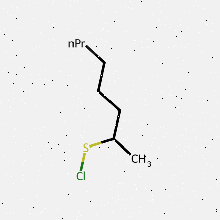 CCCCCCC(C)SCl